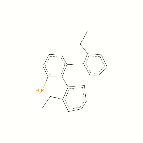 CCc1ccccc1-c1cccc(P)c1-c1ccccc1CC